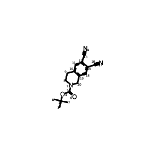 CC(C)(C)OC(=O)N1CCc2cc(C#N)c(C#N)cc2C1